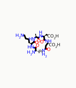 CC(C)[C@H](N)C(=O)N[C@@H](CCCCN)C(=O)N[C@@H](C)C(=O)N[C@@H](CC(=O)O)C(=O)N[C@@H](CC(N)=O)C(=O)O